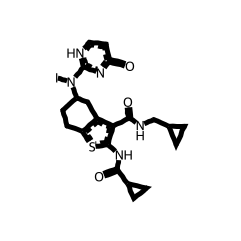 O=C(NCC1CC1)c1c(NC(=O)C2CC2)sc2c1CC(N(I)c1nc(=O)cc[nH]1)CC2